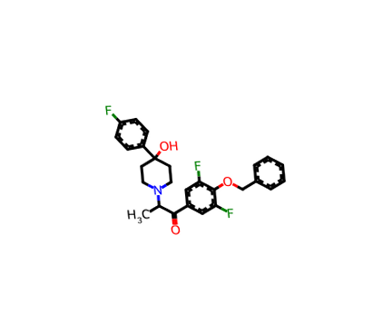 CC(C(=O)c1cc(F)c(OCc2ccccc2)c(F)c1)N1CCC(O)(c2ccc(F)cc2)CC1